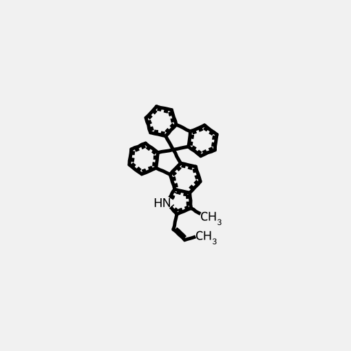 C/C=C\c1[nH]c2c3c(ccc2c1C)C1(c2ccccc2-c2ccccc21)c1ccccc1-3